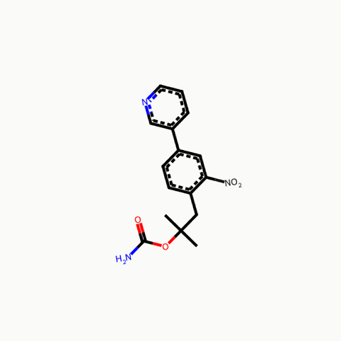 CC(C)(Cc1ccc(-c2cccnc2)cc1[N+](=O)[O-])OC(N)=O